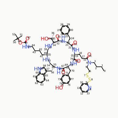 CCCCN(CCSSc1ccccn1)C(=O)CC[C@@H]1NC(=O)[C@H](Cc2ccccc2)NC(=O)[C@H]([C@@H](C)O)NC[C@H](CCCCNC(=O)OC(C)(C)C)NC[C@@H](Cc2c[nH]c3ccccc23)NC(=O)[C@H](Cc2ccc(O)cc2)NC1=O